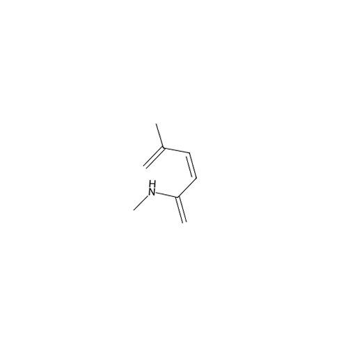 C=C(C)/C=C\C(=C)NC